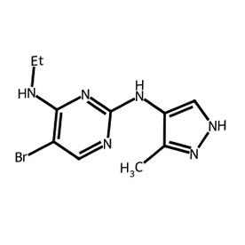 CCNc1nc(Nc2c[nH]nc2C)ncc1Br